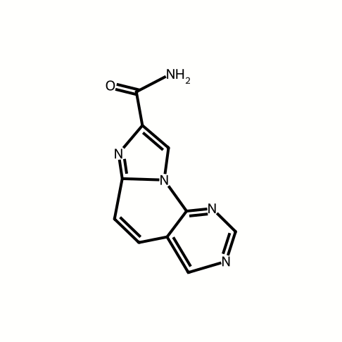 NC(=O)c1cn2c(ccc3cncnc32)n1